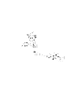 CC(=O)N1CCN(c2nc(NCCC(=O)N(C)CCOCCOc3ccc4c(c3)C(=O)N(C3CCC(=O)NC3=O)C4=O)nc3c(F)c(C4=C(F)C=CCC4O)c(Cl)cc23)CC1